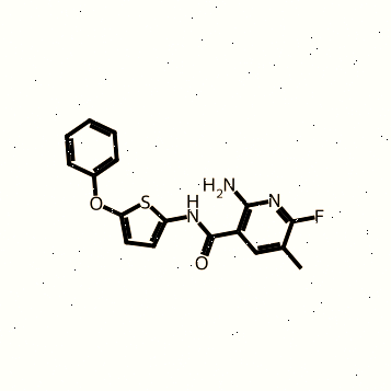 Cc1cc(C(=O)Nc2ccc(Oc3ccccc3)s2)c(N)nc1F